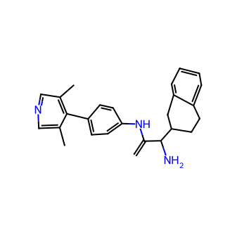 C=C(Nc1ccc(-c2c(C)cncc2C)cc1)C(N)C1CCc2ccccc2C1